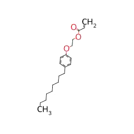 C=CC(=O)OCCOc1ccc(CCCCCCCCC)cc1